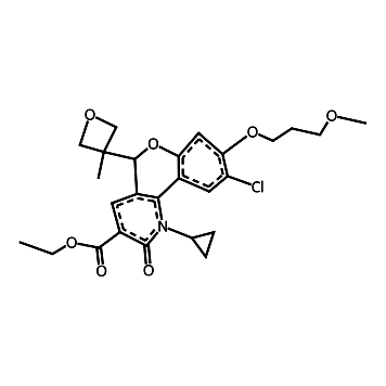 CCOC(=O)c1cc2c(n(C3CC3)c1=O)-c1cc(Cl)c(OCCCOC)cc1OC2C1(C)COC1